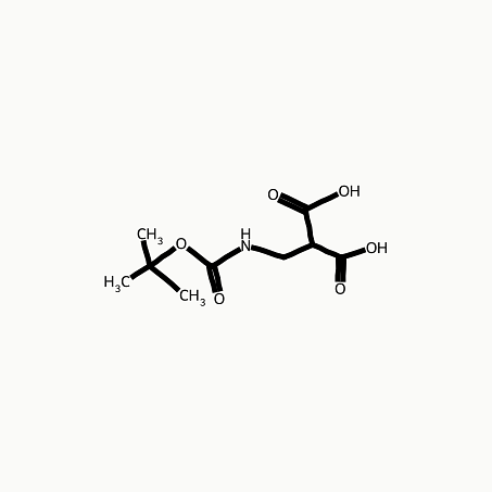 CC(C)(C)OC(=O)NCC(C(=O)O)C(=O)O